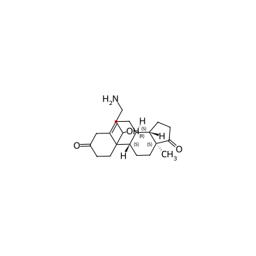 C[C@]12CC[C@H]3[C@@H](CC=C4CC(=O)CCC43C(O)CCN)[C@@H]1CCC2=O